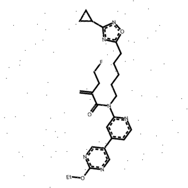 C=C(CCF)C(=O)N(CCCCCc1nc(C2CC2)no1)c1cc(-c2cnc(OCC)nc2)ccn1